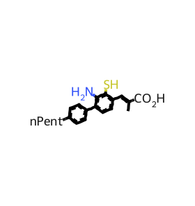 CCCCCc1ccc(-c2ccc(C=C(C)C(=O)O)c(S)c2N)cc1